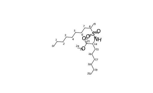 CCCCCCCCC(C)S(=O)(=O)NC(CCCCCC)C(=O)OC